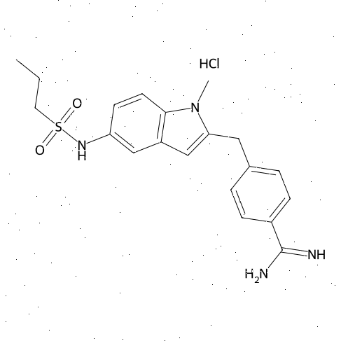 CCCS(=O)(=O)Nc1ccc2c(c1)cc(Cc1ccc(C(=N)N)cc1)n2C.Cl